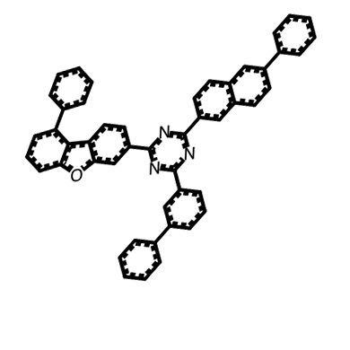 c1ccc(-c2cccc(-c3nc(-c4ccc5cc(-c6ccccc6)ccc5c4)nc(-c4ccc5c(c4)oc4cccc(-c6ccccc6)c45)n3)c2)cc1